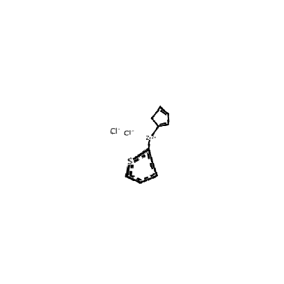 C1=CC[C]([Zr+2][c]2cccs2)=C1.[Cl-].[Cl-]